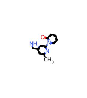 Cc1cc(CN)cc(-n2ccccc2=O)n1